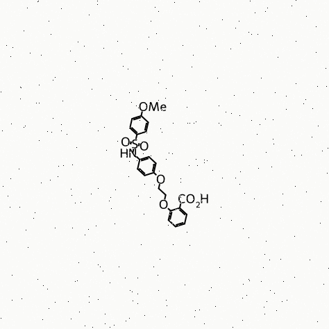 COc1ccc(S(=O)(=O)Nc2ccc(OCCOc3ccccc3C(=O)O)cc2)cc1